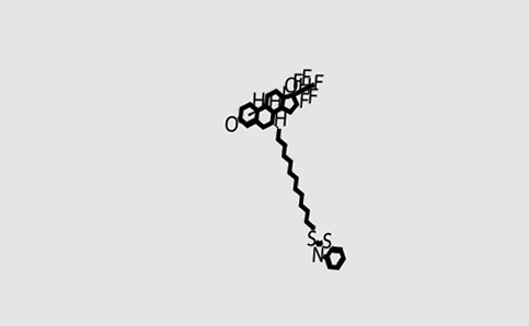 C[C@]12CCC(=O)C=C1C[C@@H](CCCCCCCCCCCCCSc1nc3ccccc3s1)[C@@H]1[C@@H]2CC[C@@]2(C)[C@H]1CC[C@@]2(O)C(F)(F)C(F)(F)F